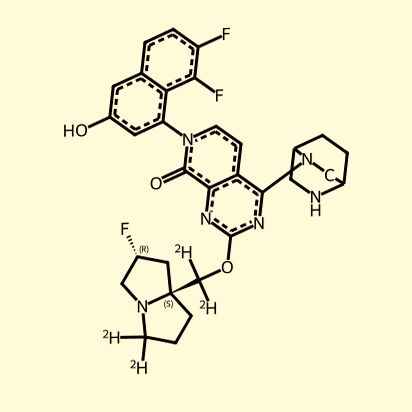 [2H]C1([2H])CC[C@@]2(C([2H])([2H])Oc3nc(N4CC5CCC4CN5)c4ccn(-c5cc(O)cc6ccc(F)c(F)c56)c(=O)c4n3)C[C@@H](F)CN12